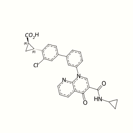 O=C(NC1CC1)c1cn(-c2cccc(-c3ccc([C@@H]4C[C@H]4C(=O)O)c(Cl)c3)c2)c2ncccc2c1=O